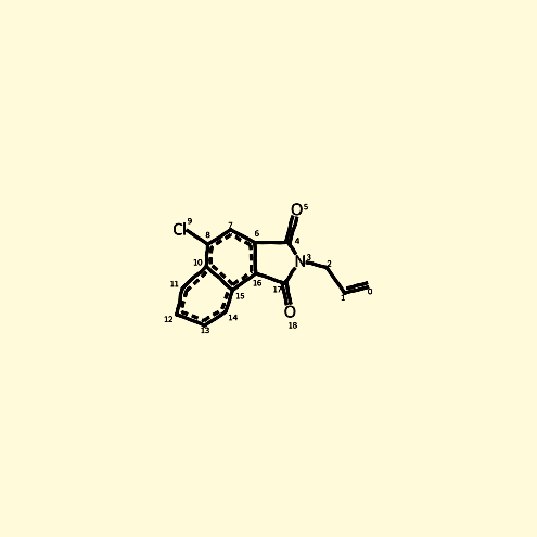 C=CCN1C(=O)c2cc(Cl)c3ccccc3c2C1=O